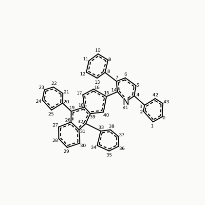 c1ccc(-c2ccc(-c3ccccc3)c(-c3ccc4c(-c5ccccc5)c5ccccc5c(-c5ccccc5)c4c3)n2)cc1